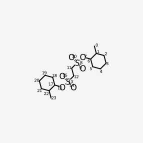 CC1CCCCC1OS(=O)(=O)CCS(=O)(=O)OC1CCCCC1C